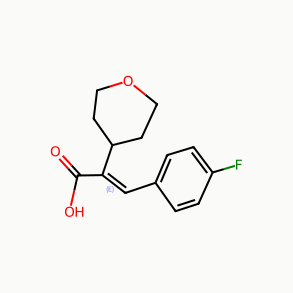 O=C(O)/C(=C/c1ccc(F)cc1)C1CCOCC1